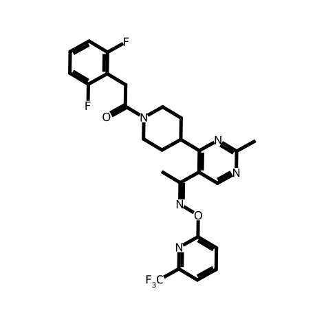 C/C(=N/Oc1cccc(C(F)(F)F)n1)c1cnc(C)nc1C1CCN(C(=O)Cc2c(F)cccc2F)CC1